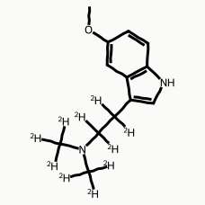 [2H]C([2H])([2H])N(C([2H])([2H])[2H])C([2H])([2H])C([2H])([2H])c1c[nH]c2ccc(OC)cc12